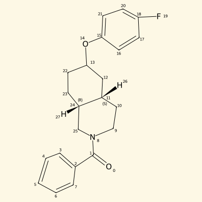 O=C(c1ccccc1)N1CC[C@H]2CC(Oc3ccc(F)cc3)CC[C@H]2C1